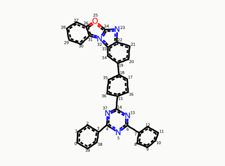 c1ccc(-c2nc(-c3ccccc3)nc(-c3ccc(-c4ccc5nc6oc7ccccc7n6c5c4)cc3)n2)cc1